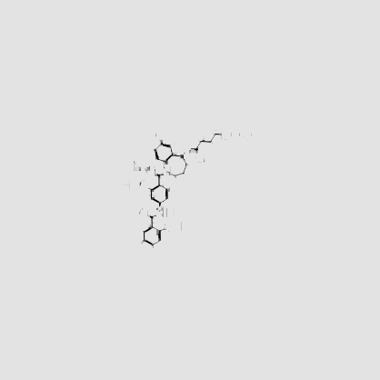 Cc1ccccc1C(=O)Nc1ccc(C(=O)N2CCCC(OC(=O)CCCC(=O)[O-])c3cc(Cl)ccc32)c(C)c1.[Na+]